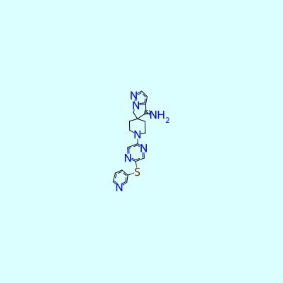 N[C@@H]1c2ccnn2CC12CCN(c1cnc(Sc3cccnc3)cn1)CC2